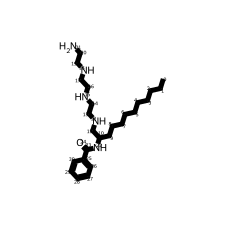 CCCCCCCCCCC(CNCCNCCNCCN)NC(=O)c1ccccc1